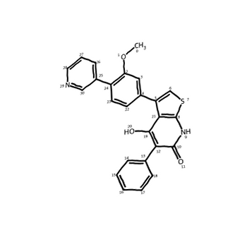 COc1cc(-c2csc3[nH]c(=O)c(-c4ccccc4)c(O)c23)ccc1-c1cccnc1